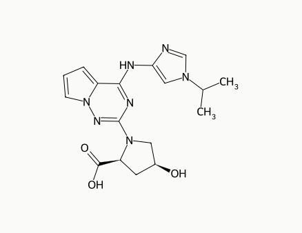 CC(C)n1cnc(Nc2nc(N3C[C@@H](O)C[C@H]3C(=O)O)nn3cccc23)c1